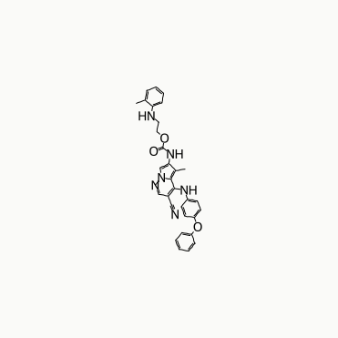 Cc1ccccc1NCCOC(=O)Nc1cn2ncc(C#N)c(Nc3ccc(Oc4ccccc4)cc3)c2c1C